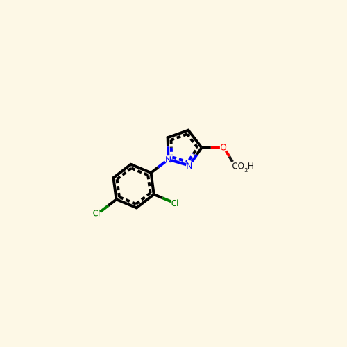 O=C(O)Oc1ccn(-c2ccc(Cl)cc2Cl)n1